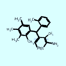 CC/C(N)=C(C)\C(=C/C(C)C)C(c1ccccc1C)c1cc(C)c(C)c(C)c1C